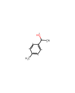 Cc1ccc(C(O)C#N)cc1